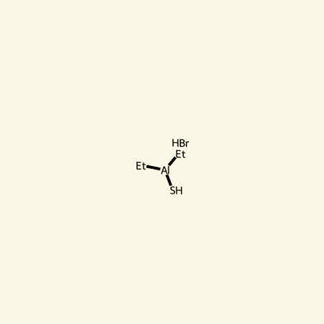 Br.C[CH2][Al]([SH])[CH2]C